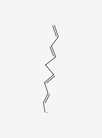 [CH2]C=CC=CCC=CC=C